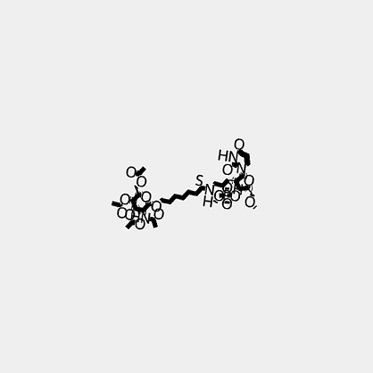 COC[C@H]1O[C@@H](n2ccc(=O)[nH]c2=O)[C@@H](CCCNC(=S)CCCCCCO[C@@H]2O[C@H](COC(C)=O)[C@H](OC(C)=O)[C@H](OC(C)=O)[C@H]2NC(C)=O)C1OP(=O)(O)OC